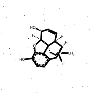 C[N+]1([S-])CC[C@]23c4c5[c]cc(O)c4O[C@H]2[C@@H](O)C=C[C@H]3[C@H]1C5